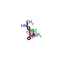 CCCC(=N)c1ccc(OC(=O)CCC(c2ccccc2)S(=O)(=O)NC(C)CC=N)cc1.Cl.Cl